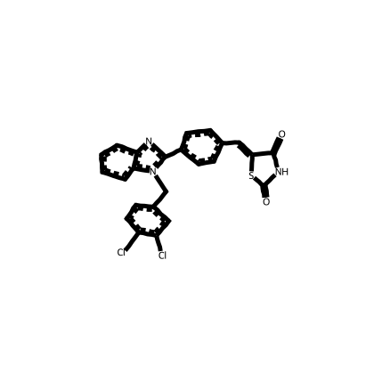 O=C1NC(=O)C(=Cc2ccc(-c3nc4ccccc4n3Cc3ccc(Cl)c(Cl)c3)cc2)S1